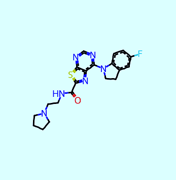 O=C(NCCN1CCCC1)c1nc2c(N3CCc4cc(F)ccc43)ncnc2s1